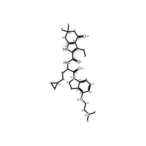 CCc1c(C(=O)NC(CCC2CC2)C(=O)N2CCc3c(OCCN(C)C)cccc32)[nH]c2c1C(=O)CC(C)(C)C2